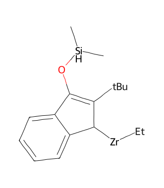 C[CH2][Zr][CH]1C(C(C)(C)C)=C(O[SiH](C)C)c2ccccc21